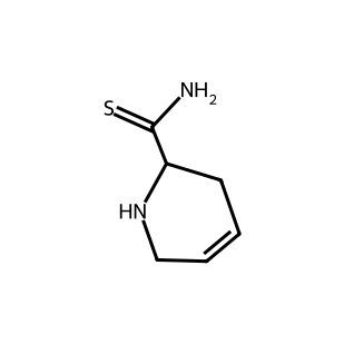 NC(=S)C1CC=CCN1